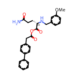 COc1cccc(CN[C@@H](CCC(N)=O)C(=O)OC(=O)Cc2ccc(-c3ccccc3)cc2)c1